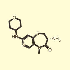 CN1C(=O)[C@@H](N)CSc2cc(NC3CCOCC3)ncc21